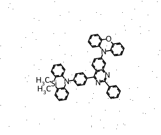 C[Si]1(C)c2ccccc2N(c2ccc(-c3nc(-c4ccccc4)nc4cc(N5c6ccccc6Oc6ccccc65)ccc34)cc2)c2ccccc21